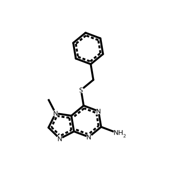 Cn1cnc2nc(N)nc(SCc3ccccc3)c21